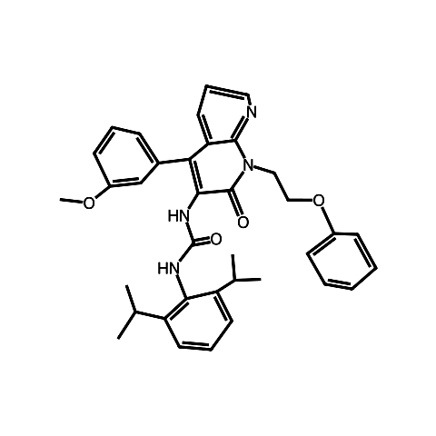 COc1cccc(-c2c(NC(=O)Nc3c(C(C)C)cccc3C(C)C)c(=O)n(CCOc3ccccc3)c3ncccc23)c1